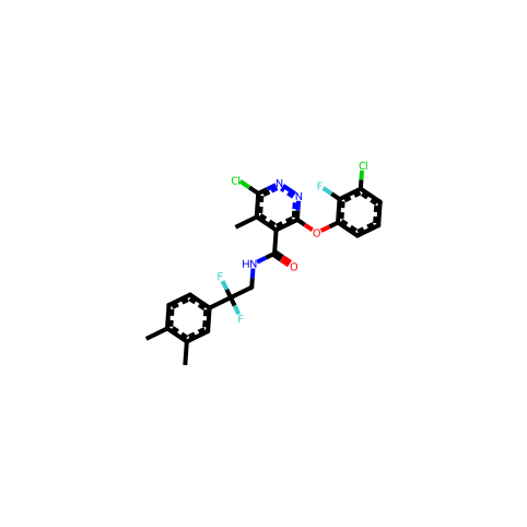 Cc1ccc(C(F)(F)CNC(=O)c2c(Oc3cccc(Cl)c3F)nnc(Cl)c2C)cc1C